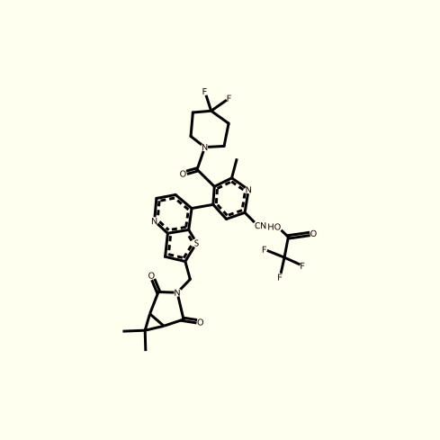 Cc1nc(C#N)cc(-c2ccnc3cc(CN4C(=O)C5C(C4=O)C5(C)C)sc23)c1C(=O)N1CCC(F)(F)CC1.O=C(O)C(F)(F)F